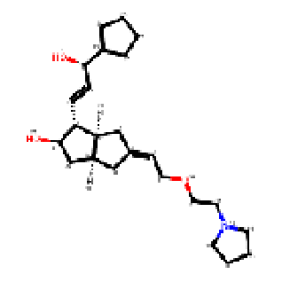 O[C@H](C=C[C@@H]1[C@H]2CC(=CCOCCN3CCCC3)C[C@H]2C[C@H]1O)C1CCCC1